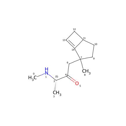 CN[C@@H](C)C(=O)CC1(C)CCC2CC=C21